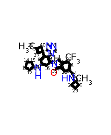 Cn1cnnc1[C@]1(c2cc(NC3CCCC3)cc(N3Cc4c(cc(CNC5(C)CCC5)cc4C(F)(F)F)C3=O)c2)C[C@H](C)C1